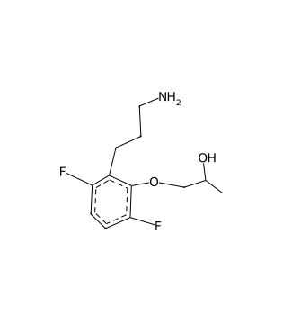 CC(O)COc1c(F)ccc(F)c1CCCN